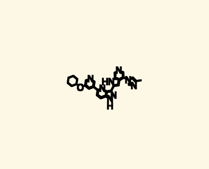 Cc1cn(-c2cncc3[nH]c(-c4n[nH]c5ccc(-c6cncc(OC7CCCCC7)c6)nc45)cc23)cn1